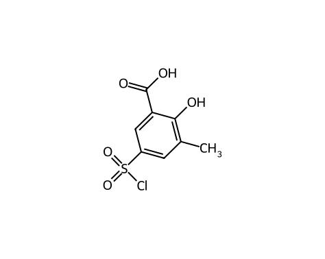 Cc1cc(S(=O)(=O)Cl)cc(C(=O)O)c1O